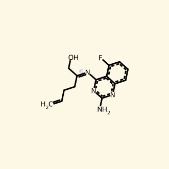 C=CCC/C(CO)=N\c1nc(N)nc2cccc(F)c12